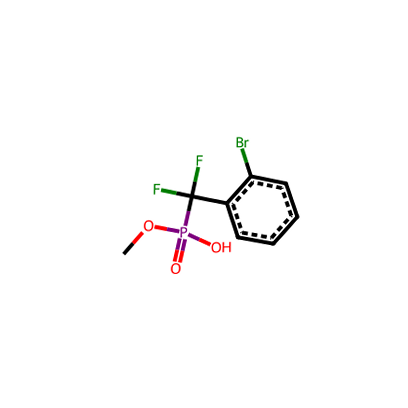 COP(=O)(O)C(F)(F)c1ccccc1Br